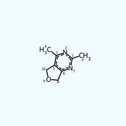 Cc1nc(C)c2c(n1)COC2